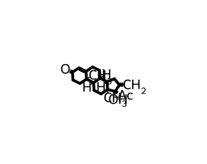 C=C1C[C@H]2[C@@H]3CCC4=CC(=O)CC[C@]4(C)[C@@H]3CC[C@]2(C)C1(O)C(C)=O